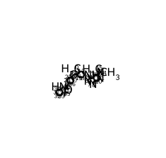 Cc1cc(Nc2ncnc3cnc(N(C)C)cc23)ccc1Oc1ccc(C(=O)Nc2ccccc2F)cc1